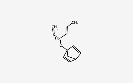 C=C[SiH](C=CC)OC12C=CC(C=C1)C2